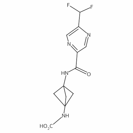 O=C(O)NC12CC(NC(=O)c3cnc(C(F)F)cn3)(C1)C2